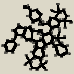 CC(C)(C)c1ccc(Nc2cc3c(cc2-c2c4c(c5c6cc7c(cc6n6c5c2Bc2cc5occ(-c8ccccc8)c5cc2-6)C(C)(C)CCC7(C)C)-c2ccccc2C4(C)C)C(C)(C)CCC3(C)C)cc1